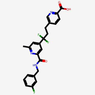 Cc1cc(C(F)(F)CCc2ccc(C(=O)O)nc2)cc(C(=O)NCc2cccc(F)c2)n1